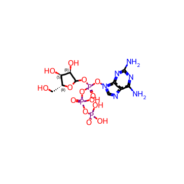 Nc1nc(N)c2ncn(OP(=O)(OC3O[C@H](CO)[C@@H](O)[C@H]3O)OP(=O)(O)OP(=O)(O)O)c2n1